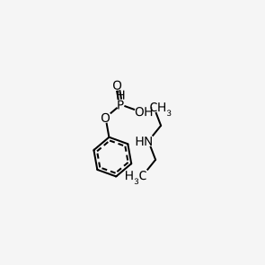 CCNCC.O=[PH](O)Oc1ccccc1